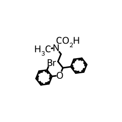 CN(CCC(Oc1ccccc1Br)c1ccccc1)C(=O)O